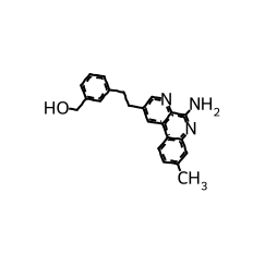 Cc1ccc2c(c1)nc(N)c1ncc(CCc3cccc(CO)c3)cc12